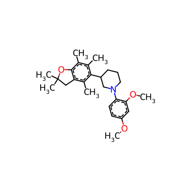 COc1ccc(N2CCCC(c3c(C)c(C)c4c(c3C)CC(C)(C)O4)C2)c(OC)c1